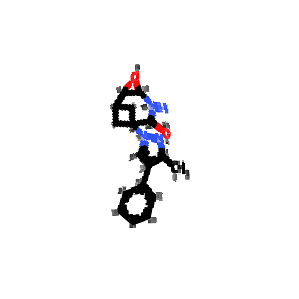 Cc1nn(C23CC(C2)C2OC2NC3=O)cc1-c1ccccc1